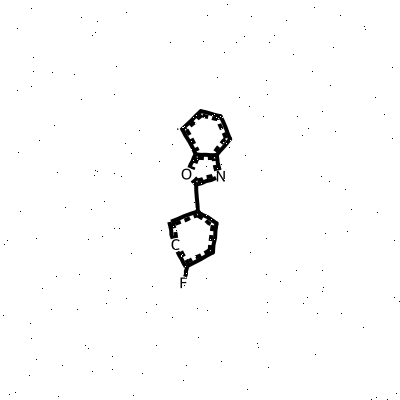 Fc1ccc(-c2nc3ccc[c]c3o2)cc1